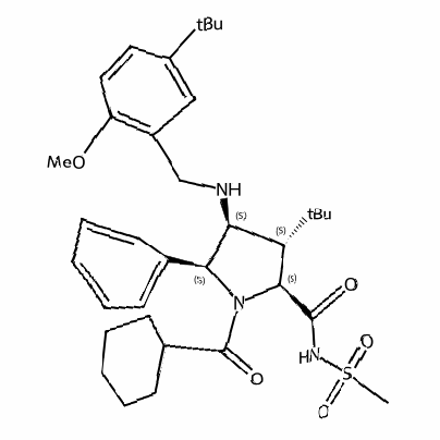 COc1ccc(C(C)(C)C)cc1CN[C@H]1[C@H](C(C)(C)C)[C@@H](C(=O)NS(C)(=O)=O)N(C(=O)C2CCCCC2)[C@H]1c1ccccc1